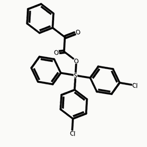 O=C(OS(c1ccccc1)(c1ccc(Cl)cc1)c1ccc(Cl)cc1)C(=O)c1ccccc1